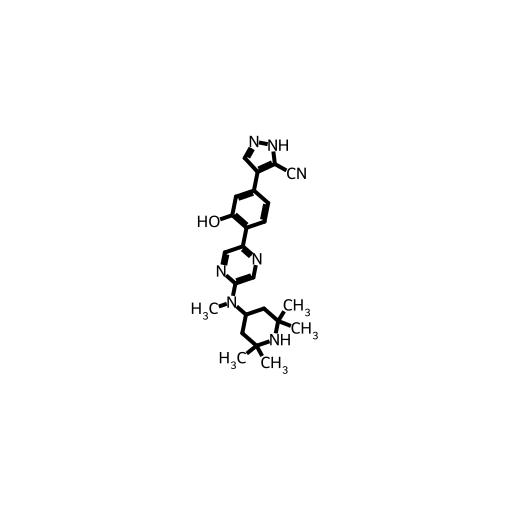 CN(c1cnc(-c2ccc(-c3cn[nH]c3C#N)cc2O)cn1)C1CC(C)(C)NC(C)(C)C1